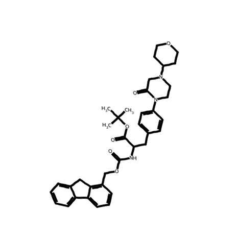 CC(C)(C)OC(=O)C(Cc1ccc(N2CCN(C3CCOCC3)CC2=O)cc1)NC(=O)OCc1cccc2c1Cc1ccccc1-2